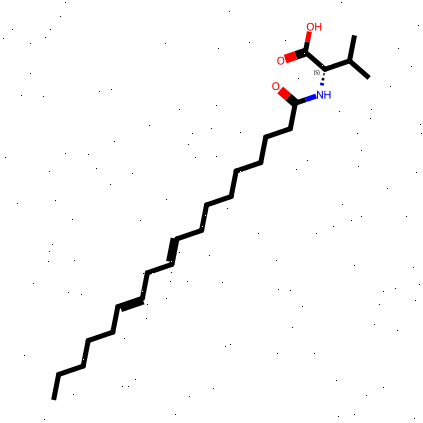 CCCCCC=CCC=CCCCCCCCC(=O)N[C@H](C(=O)O)C(C)C